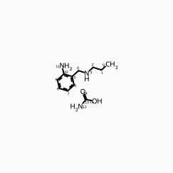 CCCNCc1ccccc1N.NC(=O)O